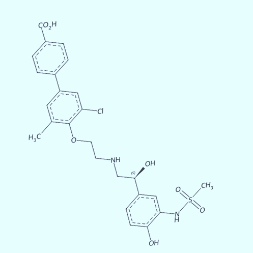 Cc1cc(-c2ccc(C(=O)O)cc2)cc(Cl)c1OCCNC[C@@H](O)c1ccc(O)c(NS(C)(=O)=O)c1